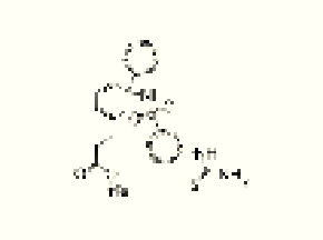 CC(C)(C)OC(=O)CCC1=CC=CC(NS(=O)(=O)c2cccc(NC(N)=S)c2)(c2ccccc2)C1